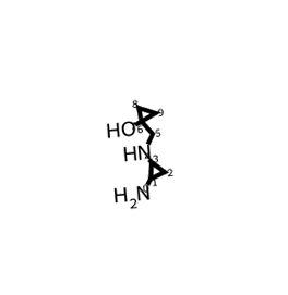 NC1CC1NCC1(O)CC1